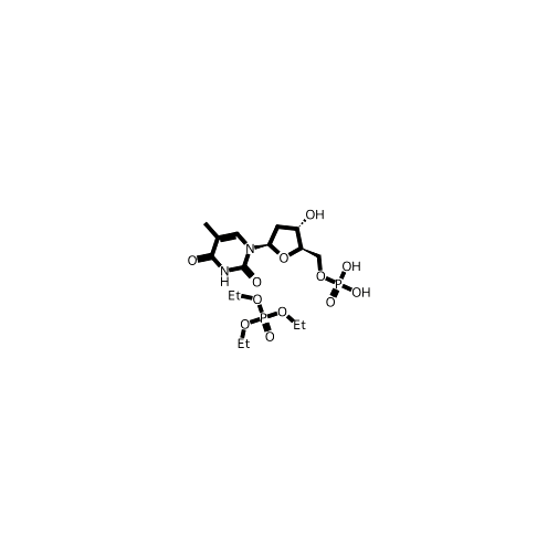 CCOP(=O)(OCC)OCC.Cc1cn([C@H]2C[C@H](O)[C@@H](COP(=O)(O)O)O2)c(=O)[nH]c1=O